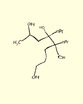 CCCC(O)(CCCO)C(O)(CCC)CC(C)O